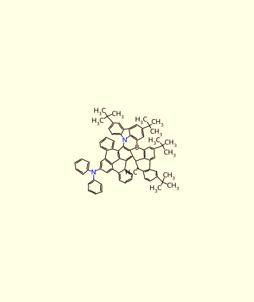 C=C1c2ccc(C(C)(C)C)cc2-c2cc(C(C)(C)C)cc3c2C1c1c2c(c4c5ccccc5c5cc(N(c6ccccc6)c6ccccc6)cc6c7ccccc7c1c4c65)-n1c4ccc(C(C)(C)C)cc4c4cc(C(C)(C)C)cc(c41)B32